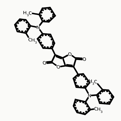 Cc1ccccc1N(c1ccc(C2=C3OC(=O)C(c4ccc(N(c5ccccc5C)c5ccccc5C)cc4)=C3OC2=O)cc1)c1ccccc1C